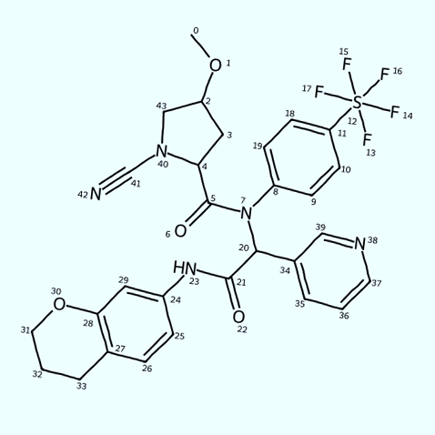 COC1CC(C(=O)N(c2ccc(S(F)(F)(F)(F)F)cc2)C(C(=O)Nc2ccc3c(c2)OCCC3)c2cccnc2)N(C#N)C1